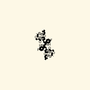 CC[C@H](NC(=O)[C@H](C)NC)C(=O)N1C[C@@H](OC(=O)CC(C)C)C[C@H]1Cc1c(-c2[nH]c3cc(F)ccc3c2C[C@@H]2C[C@H](OC(=O)CC(C)C)CN2C(=O)[C@H](CC)NC(=O)[C@H](C)NC)[nH]c2cc(F)ccc12